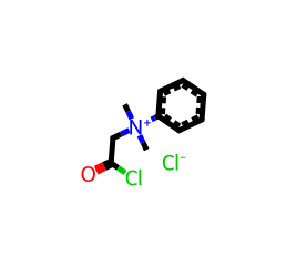 C[N+](C)(CC(=O)Cl)c1ccccc1.[Cl-]